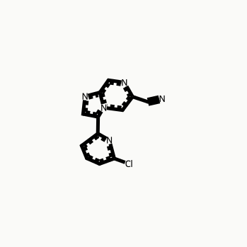 N#Cc1cn2c(-c3cccc(Cl)n3)cnc2cn1